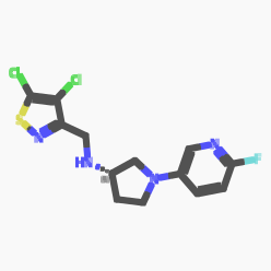 Fc1ccc(N2CC[C@H](NCc3nsc(Cl)c3Cl)C2)cn1